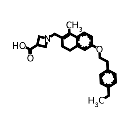 CCc1ccc(CCOc2ccc3c(c2)CCC(CN2CC(C(=O)O)C2)=C3C)cc1